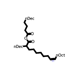 CCCCCCCC/C=C\CCCCCCC(CCCCCCCCCC)C(=O)OC(=O)CCCCCCCCCCCCC